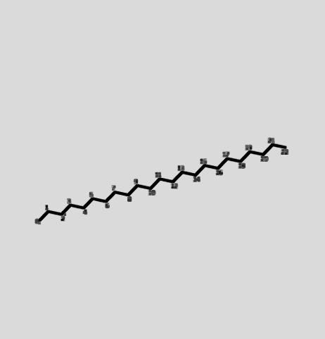 [CH2]C[CH]CCCCCCCCCCCCCCCCCCCC